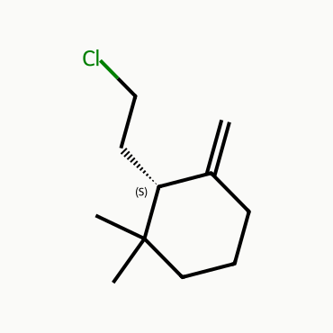 C=C1CCCC(C)(C)[C@@H]1CCCl